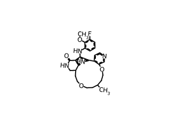 COc1c(F)cccc1Nc1c2[nH]c3c1C(=O)NCC3CCOCCC(C)CCOc1cnccc1-2